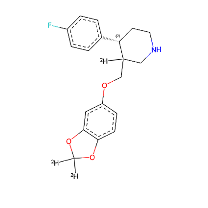 [2H]C1([2H])Oc2ccc(OCC3([2H])CNCC[C@H]3c3ccc(F)cc3)cc2O1